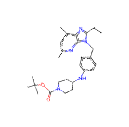 CCc1nc2c(C)cc(C)nc2n1Cc1ccc(NC2CCN(C(=O)OC(C)(C)C)CC2)cc1